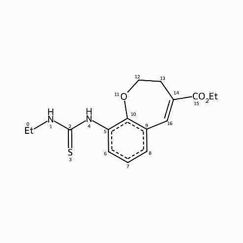 CCNC(=S)Nc1cccc2c1OCCC(C(=O)OCC)=C2